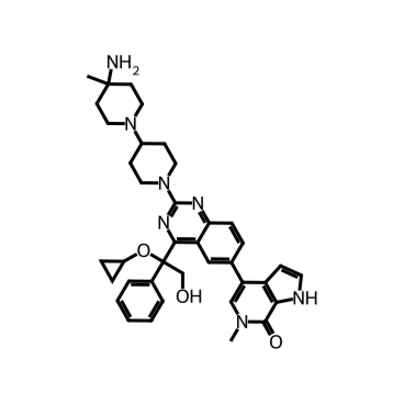 Cn1cc(-c2ccc3nc(N4CCC(N5CCC(C)(N)CC5)CC4)nc(C(CO)(OC4CC4)c4ccccc4)c3c2)c2cc[nH]c2c1=O